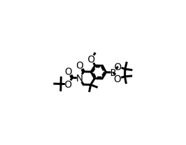 COc1cc(B2OC(C)(C)C(C)(C)O2)cc2c1C(=O)N(C(=O)OC(C)(C)C)CC2(C)C